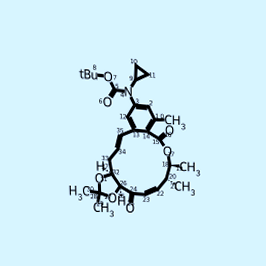 Cc1cc(N(C(=O)OC(C)(C)C)C2CC2)cc2c1C(=O)O[C@@H](C)[C@H](C)/C=C\C(=O)[C@H]1OC(C)(C)O[C@H]1C/C=C/2